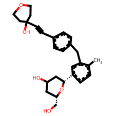 Cc1ccc([C@H]2CC(O)C[C@@H](CO)O2)cc1Cc1ccc(C#CC2(O)CCOCC2)cc1